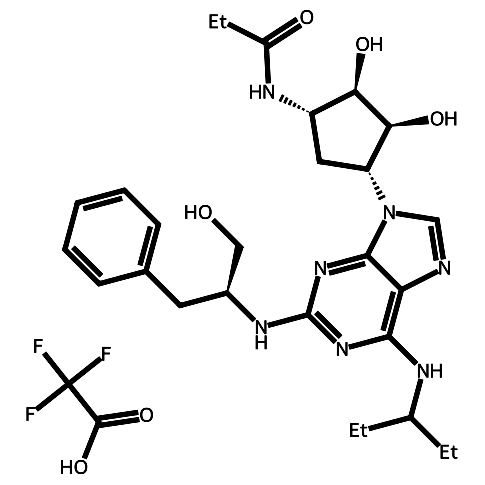 CCC(=O)N[C@H]1C[C@@H](n2cnc3c(NC(CC)CC)nc(N[C@H](CO)Cc4ccccc4)nc32)[C@H](O)[C@@H]1O.O=C(O)C(F)(F)F